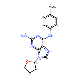 COc1ccc(Nc2nc(N)nc3c2ncn3C2CCCO2)cc1